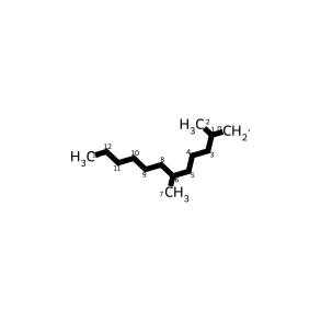 [CH2]C(C)CCCC(C)CCCCCC